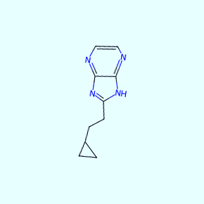 c1cnc2[nH]c(CCC3CC3)nc2n1